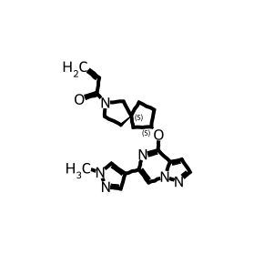 C=CC(=O)N1CC[C@]2(CC[C@H](Oc3nc(-c4cnn(C)c4)cn4nccc34)C2)C1